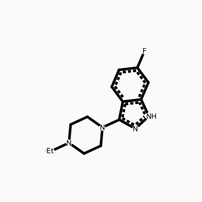 C[CH]N1CCN(c2n[nH]c3cc(F)ccc23)CC1